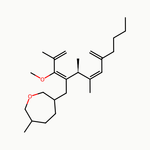 C=C(/C=C(/C)[C@H](C)/C(CC1CCC(C)COC1)=C(/OC)C(=C)C)CCCC